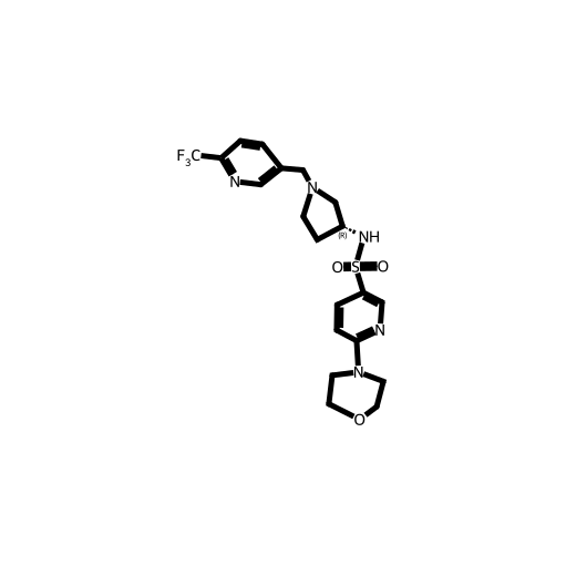 O=S(=O)(N[C@@H]1CCN(Cc2ccc(C(F)(F)F)nc2)C1)c1ccc(N2CCOCC2)nc1